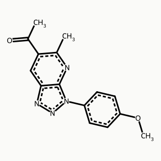 COc1ccc(-n2nnc3cc(C(C)=O)c(C)nc32)cc1